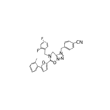 Cc1ccccc1-c1ccc(C(=O)N(Cc2ccc(F)cc2F)Cc2nncn2Cc2ccc(C#N)cc2)o1